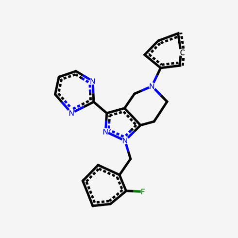 Fc1ccccc1Cn1nc(-c2ncccn2)c2c1CCN(c1ccccc1)C2